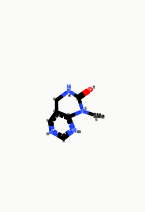 CSN1C(=O)NCc2cncnc21